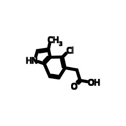 Cc1c[nH]c2ccc(CC(=O)O)c(Cl)c12